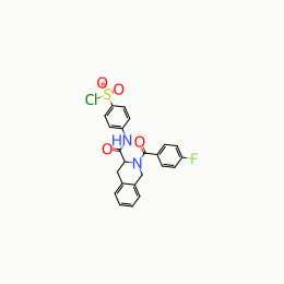 O=C(Nc1ccc(S(=O)(=O)Cl)cc1)C1Cc2ccccc2CN1C(=O)c1ccc(F)cc1